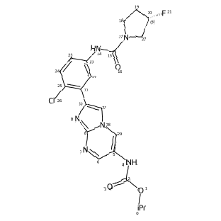 CC(C)OC(=O)Nc1cnc2nc(-c3cc(NC(=O)N4CC[C@H](F)C4)ccc3Cl)cn2c1